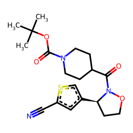 CC(C)(C)OC(=O)N1CCC(C(=O)N2OCC[C@H]2c2csc(C#N)c2)CC1